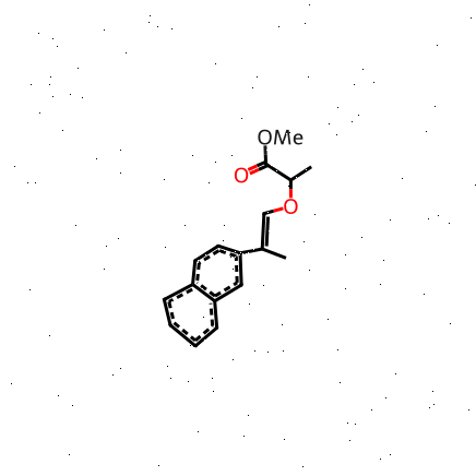 COC(=O)C(C)OC=C(C)c1ccc2ccccc2c1